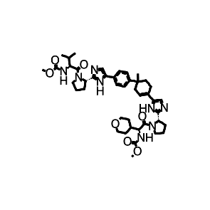 COC(=O)N[C@H](C(=O)N1CCC[C@H]1c1ncc(-c2ccc(C3(C)CC=C(c4cnc([C@@H]5CCCN5C(=O)[C@@H](NC(=O)OC)C5CCOCC5)[nH]4)CC3)cc2)[nH]1)C(C)C